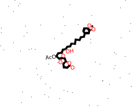 CC(=O)OC1CC(CC(O)CCCCCCCCc2ccc3c(c2)OCO3)OC2(C1)CC1OC(=O)C=CC1O2